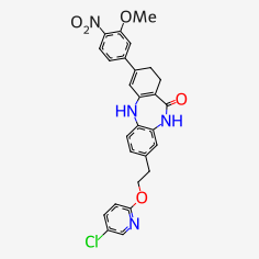 COc1cc(C2=CC3=C(CC2)C(=O)Nc2cc(CCOc4ccc(Cl)cn4)ccc2N3)ccc1[N+](=O)[O-]